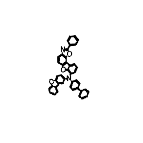 c1ccc(-c2ccc(N(c3ccc4oc5ccccc5c4c3)c3cccc4c3oc3ccc5nc(-c6ccccc6)oc5c34)cc2)cc1